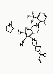 C=CC(=O)N1CC2(C1)CN(c1c(C#N)c(OC[C@@H]3CCCN3C)nc3c1CCN(c1c(C)cccc1C(F)(F)F)C3)C2